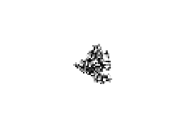 CC(=O)SCC(C(=O)NC(Cc1c[nH]c2ccccc12)C(=O)O)C1CCc2ccccc21